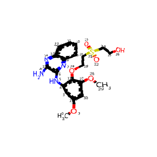 COc1cc(Nc2nc3ccccc3nc2N)c(OCCS(=O)(=O)CCO)c(OC)c1